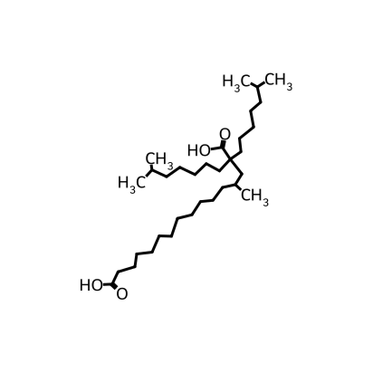 CC(C)CCCCCC(CCCCCC(C)C)(CC(C)CCCCCCCCCCCC(=O)O)C(=O)O